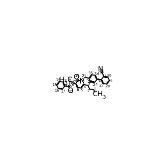 CCCCc1ccc(N(C)C(=O)c2ccccc2)c(=O)n1Cc1ccc(-c2ccccc2C#N)cc1